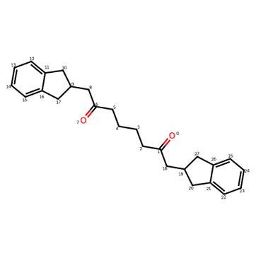 O=C(CCCCC(=O)CC1Cc2ccccc2C1)CC1Cc2ccccc2C1